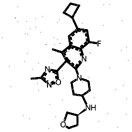 Cc1noc(-c2c(N3CCC(N[C@H]4CCOC4)CC3)nc3c(F)cc(C4CCC4)cc3c2C)n1